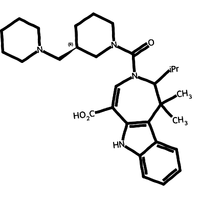 CC(C)C1N(C(=O)N2CCC[C@H](CN3CCCCC3)C2)C=C(C(=O)O)c2[nH]c3ccccc3c2C1(C)C